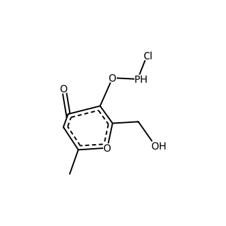 Cc1cc(=O)c(OPCl)c(CO)o1